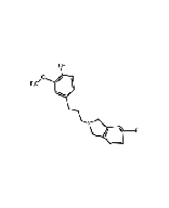 Oc1ccc(CCCN2Cc3ccc(F)cc3C2)cc1OC(F)(F)F